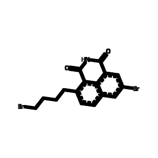 O=C1NC(=O)c2c(CCCCBr)ccc3cc(Br)cc1c23